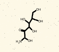 NC(O)C(=O)C(O)C(O)C(O)CO